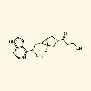 CN(C[C@@H]1C2CN(C(=O)CCC#N)C[C@H]21)c1ncnc2[nH]ccc12